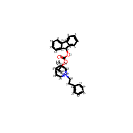 O=C(OC1c2ccccc2-c2ccccc21)O[C@H]1C[N+]2(CCc3ccccc3)CCC1CC2